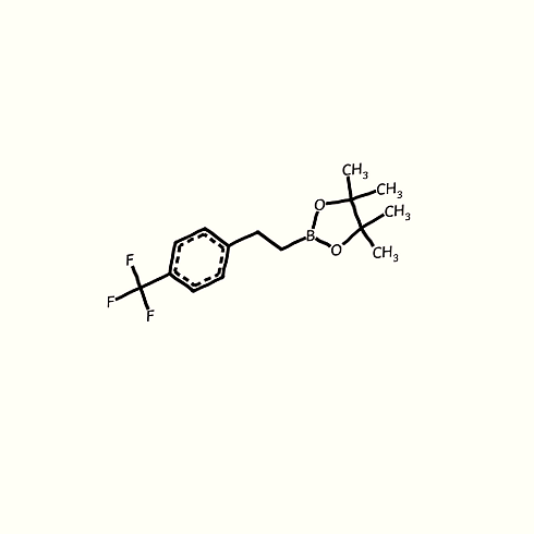 CC1(C)OB(CCc2ccc(C(F)(F)F)cc2)OC1(C)C